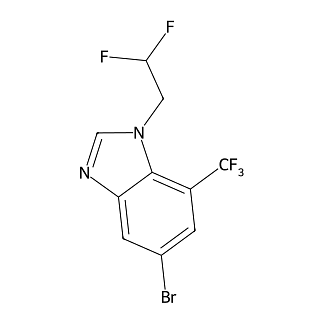 FC(F)Cn1cnc2cc(Br)cc(C(F)(F)F)c21